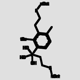 CCCCCCCCSCCc1c(C)ccc(P(O)(O)(O)CCSCCCCCCCC)c1C(C)(C)C